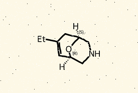 CCC1=C[C@@H]2CNC[C@H](C1)O2